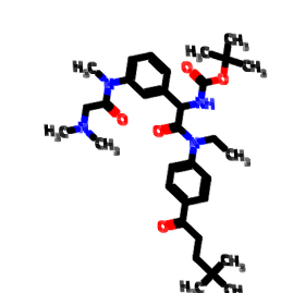 CCN(C(=O)C(NC(=O)OC(C)(C)C)c1cccc(N(C)C(=O)CN(C)C)c1)c1ccc(C(=O)CCC(C)(C)C)cc1